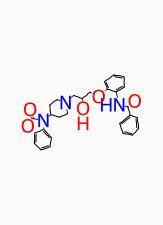 O=C(Nc1ccccc1OCC(O)CN1CCC(n2c(=O)oc3ccccc32)CC1)c1ccccc1